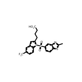 Cc1nc2cc(S(=O)(=O)n3c(CCCC(=O)O)cc4cc(C(F)(F)F)ccc43)ccc2s1